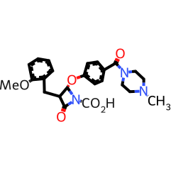 COc1ccccc1CC1C(=O)N(C(=O)O)C1Oc1ccc(C(=O)N2CCN(C)CC2)cc1